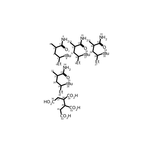 CCC(CC(C)C(N)=O)C(C)(C)C.CCC(CC(C)C(N)=O)C(C)(C)C.CCC(CC(C)C(N)=O)C(C)(C)C.CCC(CC(C)C(N)=O)C(C)(C)C.O=C(O)CC(C(=O)O)C(CC(=O)O)C(=O)O